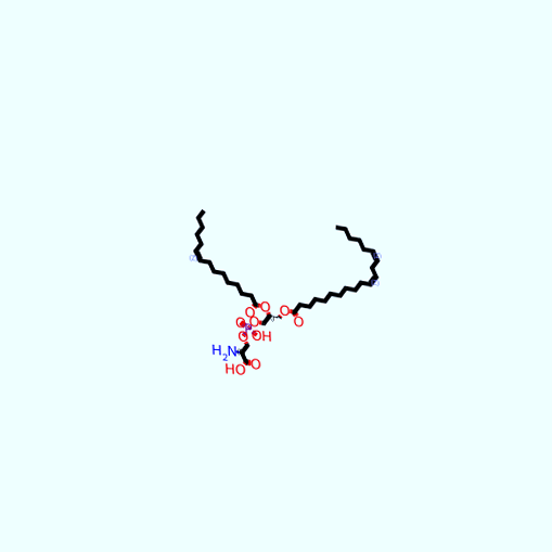 CCCCC/C=C\C/C=C\CCCCCCCCCC(=O)OC[C@H](COP(=O)(O)OC[C@H](N)C(=O)O)OC(=O)CCCCCCC/C=C\CCCCC